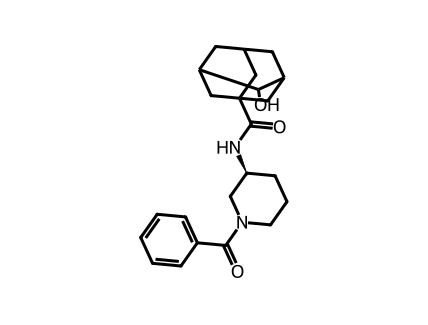 O=C(c1ccccc1)N1CCC[C@H](NC(=O)C23CC4CC(C2)C(O)C(C4)C3)C1